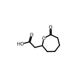 O=C(O)CC1CCCCC(=O)O1